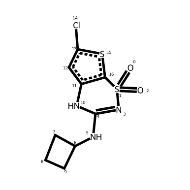 O=S1(=O)N=C(NC2CCC2)Nc2cc(Cl)sc21